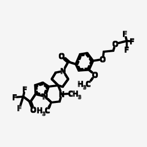 COc1cc(C(=O)N2CCC3(CC2)c2ccc(C(=O)C(F)(F)F)n2[C@H](C)CN3C)ccc1OCCOC(F)(F)F